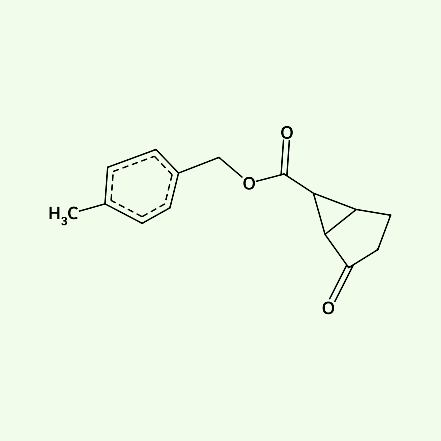 Cc1ccc(COC(=O)C2C3CCC(=O)C32)cc1